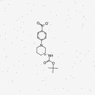 CC(C)(C)OC(=O)N[C@@H]1CCCN(c2ccc([N+](=O)[O-])cc2)C1